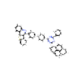 c1ccc(-c2nc(-c3ccc(-c4ccc(-c5nc6ccccc6c6sc7ccccc7c56)cc4)cc3)nc(-c3ccc4ccc5cccc6ccc3c4c56)n2)cc1